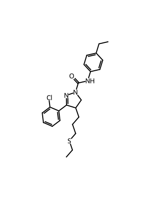 CCSCCCC1CN(C(=O)Nc2ccc(CC)cc2)N=C1c1ccccc1Cl